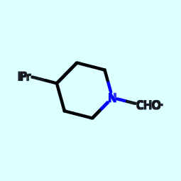 CC(C)C1CCN([C]=O)CC1